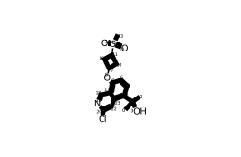 CC(C)(O)c1ccc(O[C@H]2C[C@@H](S(C)(=O)=O)C2)c2cnc(Cl)cc12